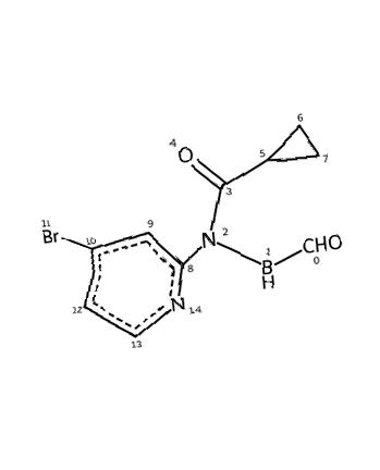 O=CBN(C(=O)C1CC1)c1cc(Br)ccn1